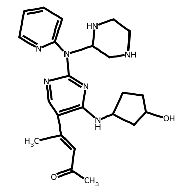 CC(=O)C=C(C)c1cnc(N(c2ccccn2)C2CNCCN2)nc1NC1CCC(O)C1